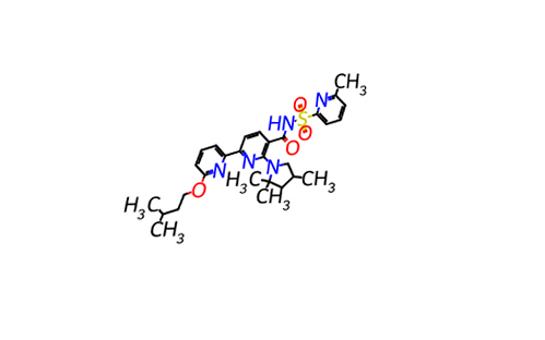 Cc1cccc(S(=O)(=O)NC(=O)c2ccc(-c3cccc(OCCC(C)C)n3)nc2N2CC(C)CC2(C)C)n1